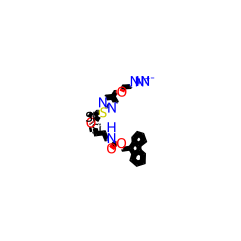 C[Si](C)(CCCNC(=O)OCC1c2ccccc2-c2ccccc21)O[Si](C)(C)CSc1ncc(COCCN=[N+]=[N-])cn1